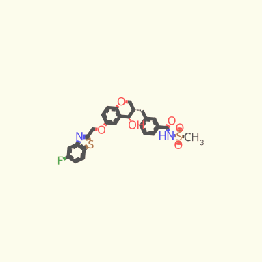 CS(=O)(=O)NC(=O)c1cccc(C[C@H]2COc3ccc(OCc4nc5cc(F)ccc5s4)cc3[C@H]2O)c1